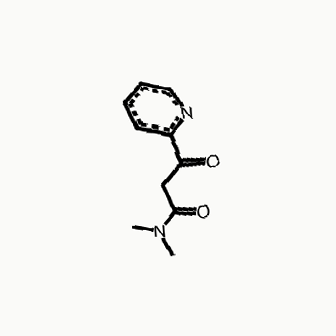 CN(C)C(=O)CC(=O)c1ccccn1